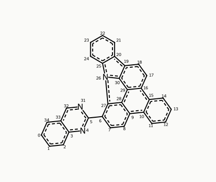 c1ccc2nc(-c3ccc4c5ccccc5c5ccc6c7ccccc7n7c3c4c5c67)ncc2c1